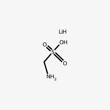 NCS(=O)(=O)O.[LiH]